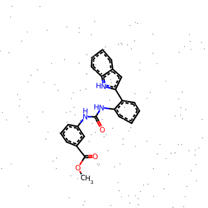 COC(=O)c1cccc(NC(=O)Nc2ccccc2-c2cc3ccccc3[nH]2)c1